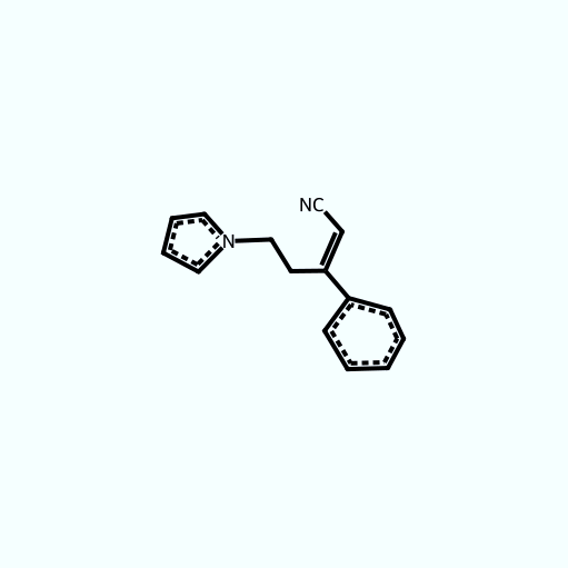 N#CC=C(CCn1cccc1)c1ccccc1